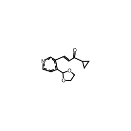 O=C(/C=C/c1cnccc1C1OCCO1)C1CC1